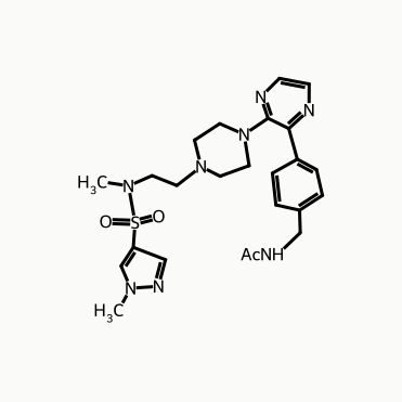 CC(=O)NCc1ccc(-c2nccnc2N2CCN(CCN(C)S(=O)(=O)c3cnn(C)c3)CC2)cc1